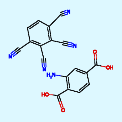 N#Cc1ccc(C#N)c(C#N)c1C#N.Nc1cc(C(=O)O)ccc1C(=O)O